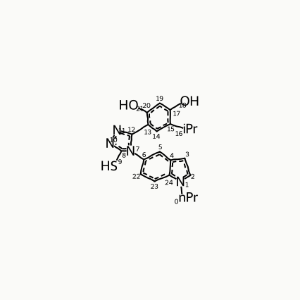 CCCn1ccc2cc(-n3c(S)nnc3-c3cc(C(C)C)c(O)cc3O)ccc21